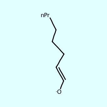 CCCCCCC=C[O]